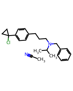 CC#N.CC(C)N(CCCc1ccc(C2(Cl)CC2)cc1)Cc1ccccc1